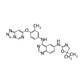 Cc1cc(Nc2ncnc3ccc(NC4=NCC(C)(C)O4)cc23)ccc1Oc1cc2nncn2cn1